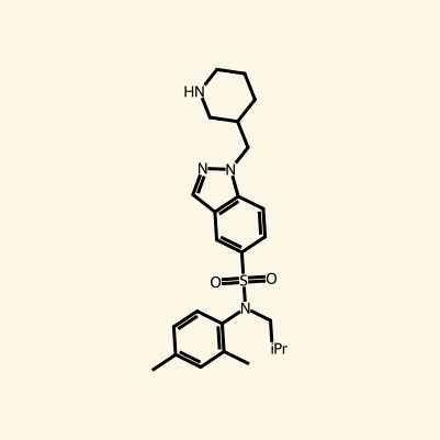 Cc1ccc(N(CC(C)C)S(=O)(=O)c2ccc3c(cnn3CC3CCCNC3)c2)c(C)c1